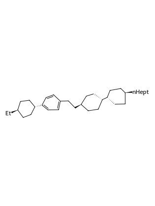 CCCCCCC[C@H]1CC[C@H]([C@H]2CC[C@H](CCc3ccc([C@H]4CC[C@H](CC)CC4)cc3)CC2)CC1